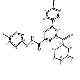 Cc1ccc(-c2cc(C(=O)NCc3ccc(C)nc3)cc(C(=O)N3CCNC(C)C3)c2)cc1